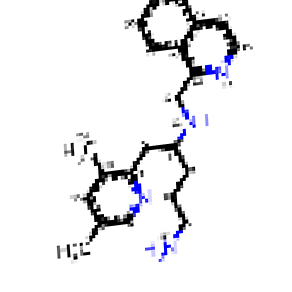 Cc1cnc(CC(CCCN)NCc2nccc3ccccc23)c(C)c1